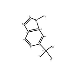 Cn1ccc2ccc(C(C)(C)C)cc21